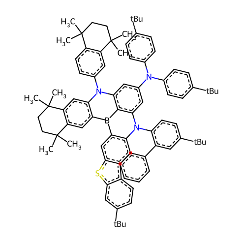 CC(C)(C)c1ccc(N(c2ccc(C(C)(C)C)cc2)c2cc3c4c(c2)N(c2ccc(C(C)(C)C)cc2-c2ccccc2)c2cc5c(cc2B4c2cc4c(cc2N3c2ccc3c(c2)C(C)(C)CCC3(C)C)C(C)(C)CCC4(C)C)sc2cc(C(C)(C)C)ccc25)cc1